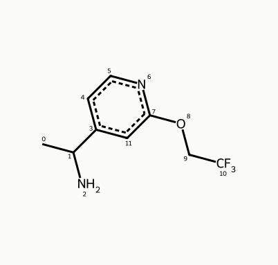 CC(N)c1ccnc(OCC(F)(F)F)c1